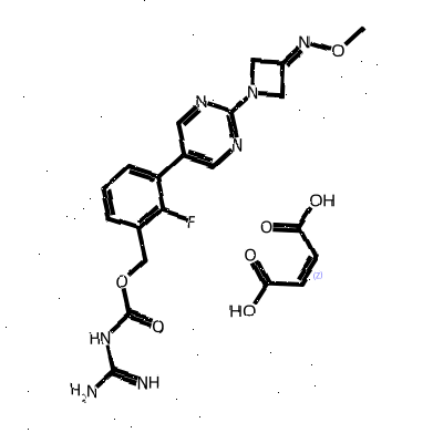 CON=C1CN(c2ncc(-c3cccc(COC(=O)NC(=N)N)c3F)cn2)C1.O=C(O)/C=C\C(=O)O